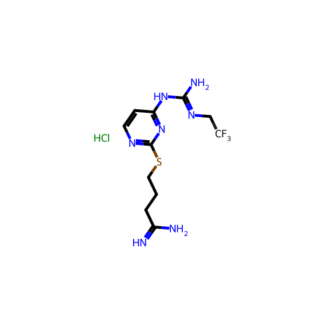 Cl.N=C(N)CCCSc1nccc(NC(N)=NCC(F)(F)F)n1